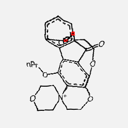 CCCOc1c2c3c(c4c1[N+]1(CCOCC1)CCO4)OCC[N+]1(CCOCC1)c1cccc(c1-2)C3=O